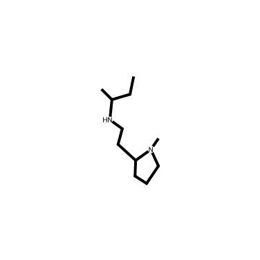 CCC(C)NCCC1CCCN1C